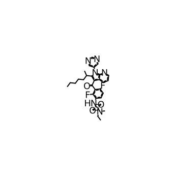 CCCCCC(C)c1c(C(=O)c2c(F)ccc(NS(=O)(=O)N(C)CC)c2F)c2cccnc2n1-c1cncnc1